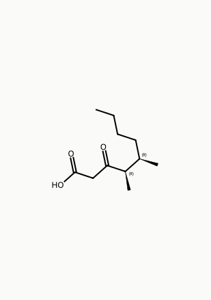 CCCC[C@@H](C)[C@@H](C)C(=O)CC(=O)O